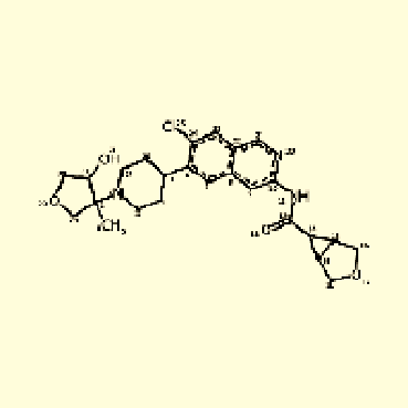 CC1(N2CCC(c3cc4cc(NC(=O)C5C6COCC65)ncc4cc3Cl)CC2)COCC1O